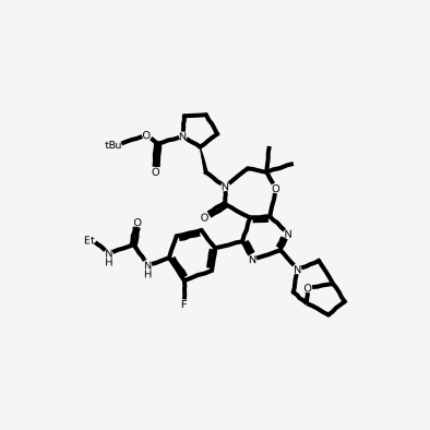 CCNC(=O)Nc1ccc(-c2nc(N3CC4CCC(C3)O4)nc3c2C(=O)N(C[C@@H]2CCCN2C(=O)OC(C)(C)C)CC(C)(C)O3)cc1F